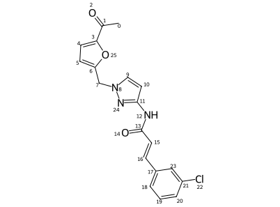 CC(=O)c1ccc(Cn2ccc(NC(=O)C=Cc3cccc(Cl)c3)n2)o1